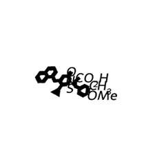 COc1ccc(-c2sc3c(C4CC4)c(Cc4cccc5ccccc45)cc(=O)n3c2C(=O)O)cc1C